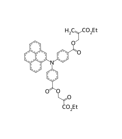 C=C(COC(=O)c1ccc(N(c2ccc(C(=O)OCC(=O)C(=O)OCC)cc2)c2cc3cccc4ccc5cccc2c5c43)cc1)C(=O)OCC